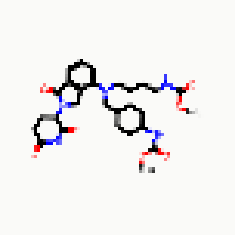 CC(C)(C)OC(=O)NCCCCN(CC1CCC(NC(=O)OC(C)(C)C)CC1)c1cccc2c1CN(C1CCC(=O)NC1=O)C2=O